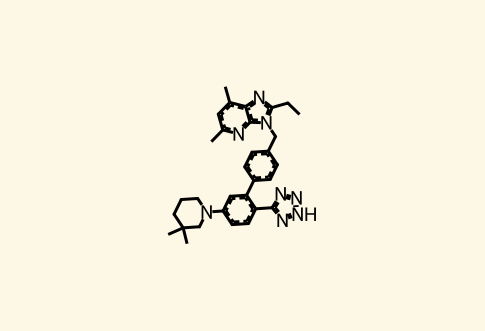 CCc1nc2c(C)cc(C)nc2n1Cc1ccc(-c2cc(N3CCCC(C)(C)C3)ccc2-c2nn[nH]n2)cc1